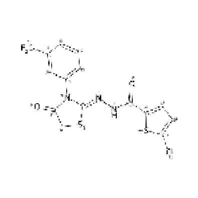 O=C(N/N=C1\SCC(=O)N1c1cccc(C(F)(F)F)c1)c1ccc(Cl)s1